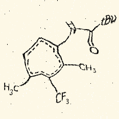 Cc1ccc(NC(=O)C(C)(C)C)c(C)c1C(F)(F)F